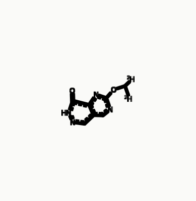 [2H]C([2H])Oc1ncc2cn[nH]c(=O)c2n1